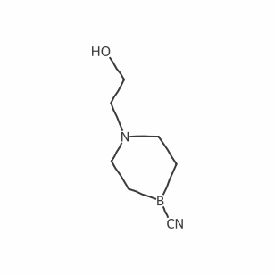 N#CB1CCN(CCO)CC1